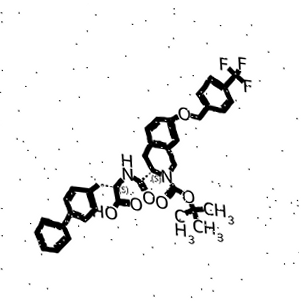 CC(C)(C)OC(=O)N1Cc2cc(OCc3ccc(C(F)(F)F)cc3)ccc2C[C@H]1C(=O)N[C@@H](Cc1ccc(-c2ccccc2)cc1)C(=O)O